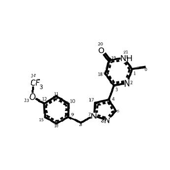 Cc1nc(-c2cnn(Cc3ccc(OC(F)(F)F)cc3)c2)cc(=O)[nH]1